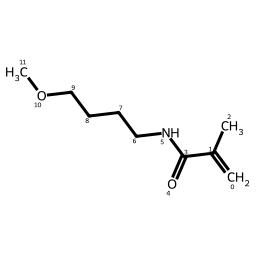 C=C(C)C(=O)NCCCCOC